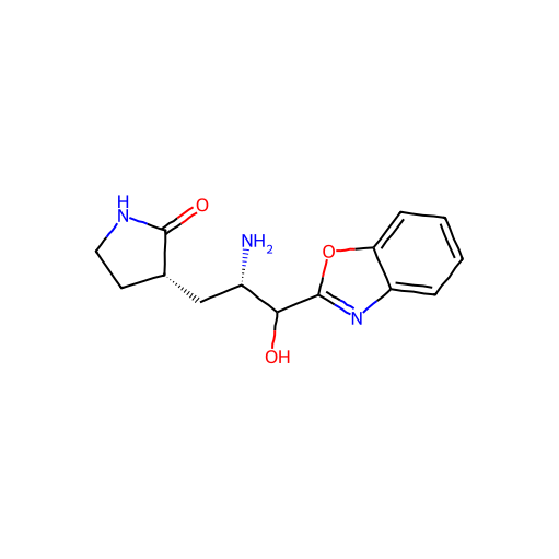 N[C@@H](C[C@@H]1CCNC1=O)C(O)c1nc2ccccc2o1